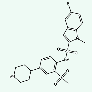 Cn1c(S(=O)(=O)Nc2ccc(C3CCNCC3)cc2S(C)(=O)=O)cc2cc(F)ccc21